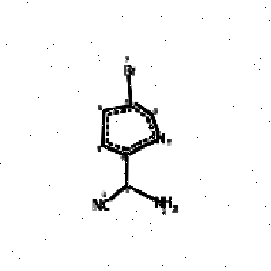 N#CC(N)c1ccc(Br)cn1